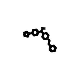 OC(c1ccc(-n2ccnc2)cc1)C1CCN(CCc2ccccc2)CC1